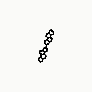 c1ccc2c(c1)ccc1c3ccc(-c4ccc5c(ccc6c7ccccc7ccc56)c4)cc3ccc21